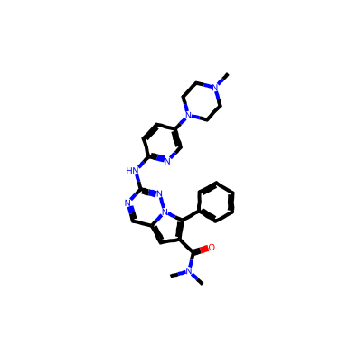 CN1CCN(c2ccc(Nc3ncc4cc(C(=O)N(C)C)c(-c5ccccc5)n4n3)nc2)CC1